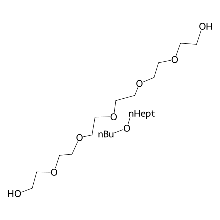 CCCCCCCOCCCC.OCCOCCOCCOCCOCCOCCO